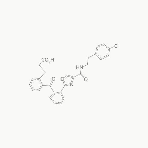 O=C(O)CCc1ccccc1C(=O)c1ccccc1-c1nc(C(=O)NCCc2ccc(Cl)cc2)co1